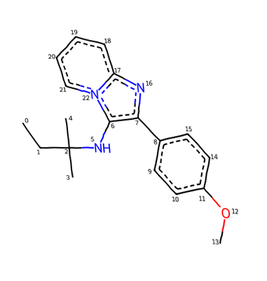 CCC(C)(C)Nc1c(-c2ccc(OC)cc2)nc2ccccn12